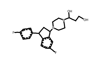 OCCC(O)N1CCN(C2CC(c3ccc(F)cc3)c3ccc(F)cc32)CC1